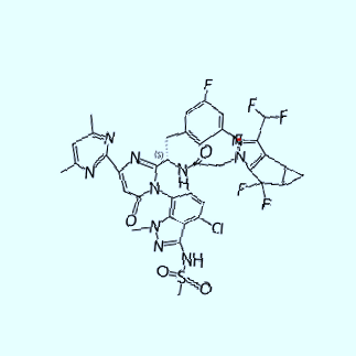 Cc1cc(C)nc(-c2cc(=O)n(-c3ccc(Cl)c4c(NS(C)(=O)=O)nn(C)c34)c([C@H](Cc3cc(F)cc(F)c3)NC(=O)Cn3nc(C(F)F)c4c3C(F)(F)C3CC43)n2)n1